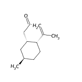 C=C(C)[C@@H]1CC[C@@H](C)C[C@@H]1C[C]=O